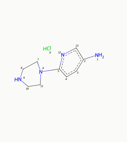 Cl.Nc1ccc(N2CCNCC2)nc1